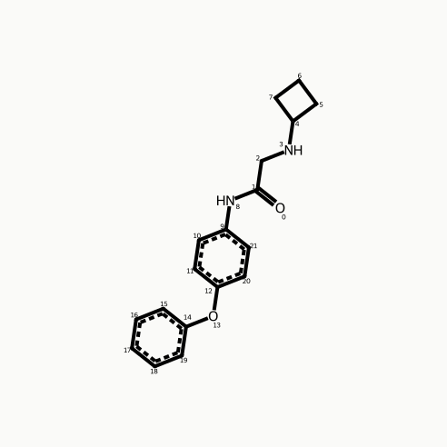 O=C(CNC1CCC1)Nc1ccc(Oc2ccccc2)cc1